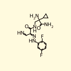 N=C/C(=N\Nc1cc(F)ccc1F)C(=O)NC[C@@](N)(C(N)=O)C1CC1